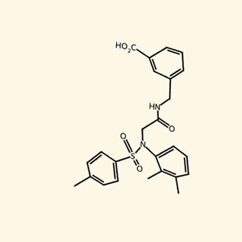 Cc1ccc(S(=O)(=O)N(CC(=O)NCc2cccc(C(=O)O)c2)c2cccc(C)c2C)cc1